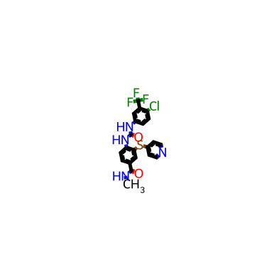 CNC(=O)c1ccc(NC(=O)Nc2ccc(Cl)c(C(F)(F)F)c2)c(Sc2ccncc2)c1